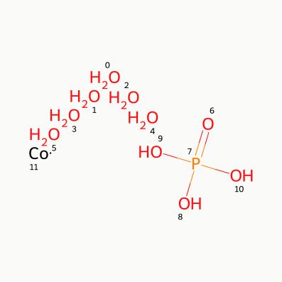 O.O.O.O.O.O.O=P(O)(O)O.[Co]